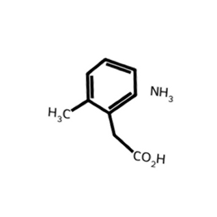 Cc1ccccc1CC(=O)O.N